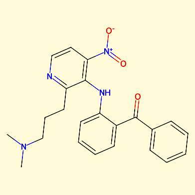 CN(C)CCCc1nccc([N+](=O)[O-])c1Nc1ccccc1C(=O)c1ccccc1